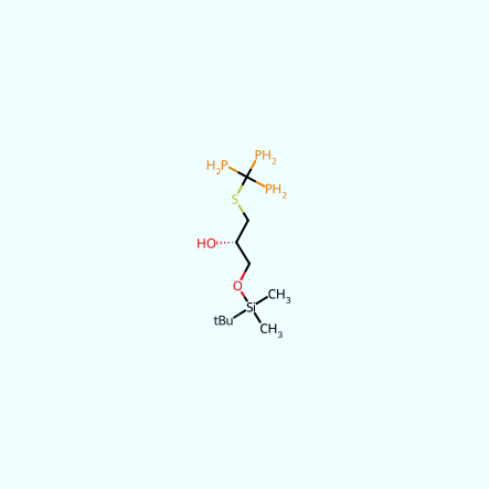 CC(C)(C)[Si](C)(C)OC[C@H](O)CSC(P)(P)P